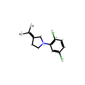 N#CC(C#N)=C1CCN(c2cc(Br)ccc2Br)C1